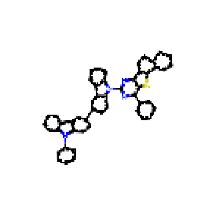 c1ccc(-c2nc(-n3c4ccccc4c4cc(-c5ccc6c(c5)c5ccccc5n6-c5ccccc5)ccc43)nc3c2sc2c4ccccc4ccc32)cc1